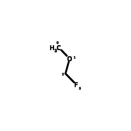 COCF